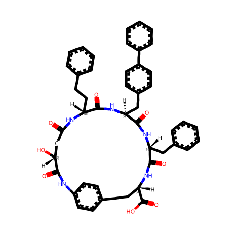 O=C1C[C@@H](O)C(=O)Nc2ccc(cc2)C[C@@H](C(=O)O)NC(=O)[C@@H](Cc2ccccc2)NC(=O)[C@H](Cc2ccc(-c3ccccc3)cc2)NC(=O)[C@@H](CCc2ccccc2)N1